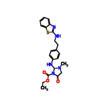 CCOC(=O)N1C(=O)CN(C)C1Nc1ccc(CCNc2nc3ccccc3s2)cc1